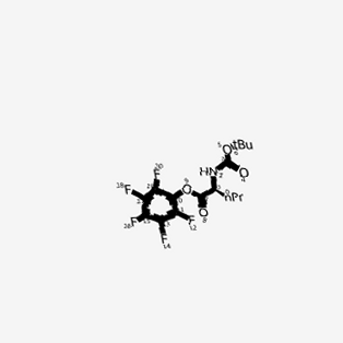 CCC[C@H](NC(=O)OC(C)(C)C)C(=O)Oc1c(F)c(F)c(F)c(F)c1F